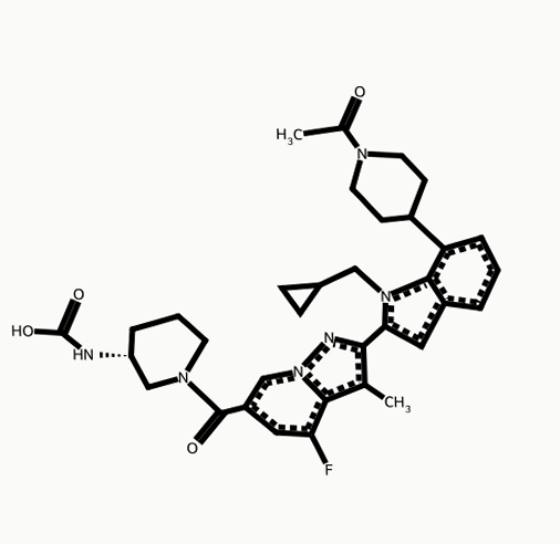 CC(=O)N1CCC(c2cccc3cc(-c4nn5cc(C(=O)N6CCC[C@@H](NC(=O)O)C6)cc(F)c5c4C)n(CC4CC4)c23)CC1